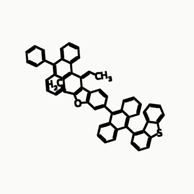 C=Cc1oc2cc(-c3c4ccccc4c(-c4cccc5sc6ccccc6c45)c4ccccc34)ccc2c1/C(=C\C)c1c2ccccc2c(-c2ccccc2)c2ccccc12